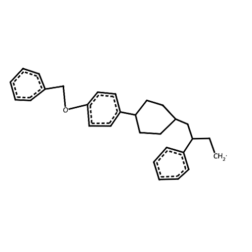 [CH2]CC(CC1CCC(c2ccc(OCc3ccccc3)cc2)CC1)c1ccccc1